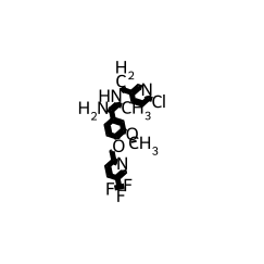 C=C(N/C(C)=C(\N)c1ccc(OCc2ccc(C(F)(F)F)cn2)c(OC)c1)c1ccc(Cl)nc1